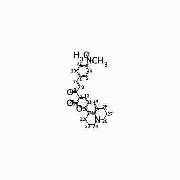 CN(C)c1ccc(/C=C/C(=O)c2cc3cc4c5c(c3oc2=O)CCCN5CCC4)cc1